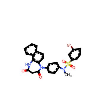 CN(c1ccc(N2C(=O)CC(=O)Nc3c2ccc2ccccc32)cc1)S(=O)(=O)c1cccc(Br)c1